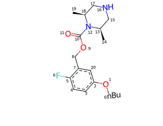 CCCCOc1ccc(F)c(COC(=O)N2[C@H](C)CNC[C@@H]2C)c1